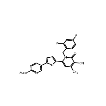 COc1ccc(-c2ccc(-c3cc(C(F)(F)F)c(C#N)c(=O)n3Cc3ccc(F)cc3F)o2)cn1